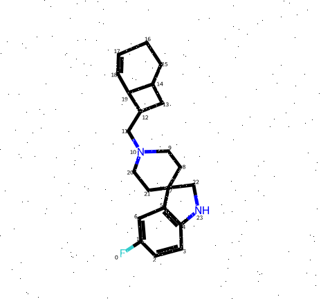 Fc1ccc2c(c1)C1(CCN(CC3CC4CCC=CC43)CC1)CN2